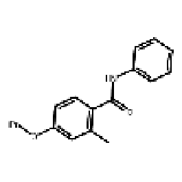 Cc1cc(OC(C)C)ccc1C(=O)Nc1ccccc1